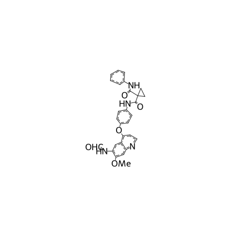 COc1cc2nccc(Oc3ccc(NC(=O)C4(C(=O)Nc5ccccc5)CC4)cc3)c2cc1NC=O